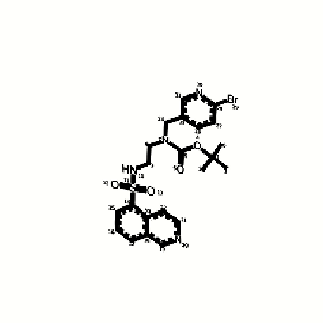 CC(C)(C)OC(=O)N(CCNS(=O)(=O)c1cccc2cnccc12)Cc1ccc(Br)nc1